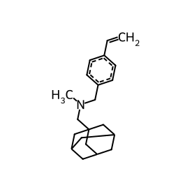 C=Cc1ccc(CN(C)CC23CC4CC(CC(C4)C2)C3)cc1